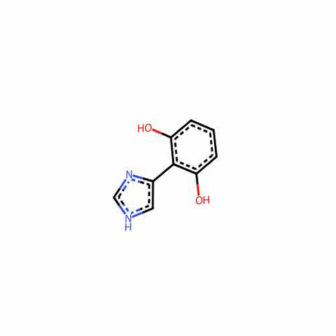 Oc1cccc(O)c1-c1c[nH]cn1